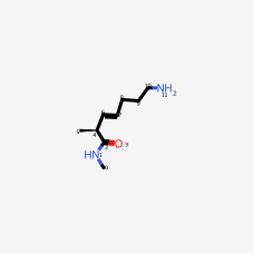 CNC(=O)[C@@H](C)/C=C/CCCN